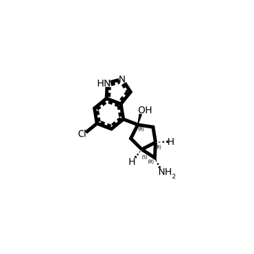 N[C@@H]1[C@H]2C[C@](O)(c3cc(Cl)cc4[nH]ncc34)C[C@@H]12